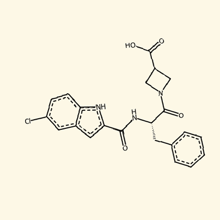 O=C(N[C@@H](Cc1ccccc1)C(=O)N1CC(C(=O)O)C1)c1cc2cc(Cl)ccc2[nH]1